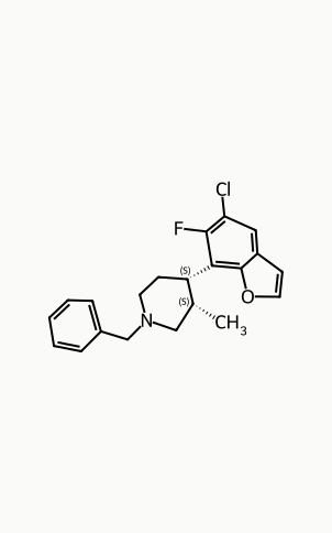 C[C@@H]1CN(Cc2ccccc2)CC[C@@H]1c1c(F)c(Cl)cc2ccoc12